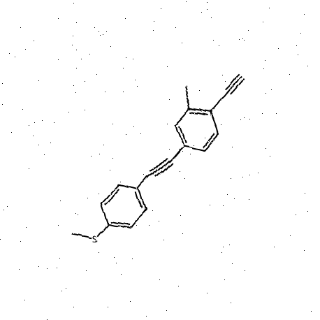 C#Cc1ccc(C#Cc2ccc(SC)cc2)cc1C